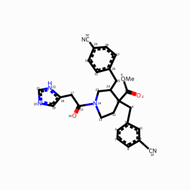 COC(=O)C1(Cc2cccc(C#N)c2)CCN(C(=O)Cc2cnc[nH]2)CC1Cc1ccc(C#N)cc1